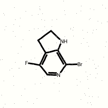 Fc1cnc(Br)c2c1CCN2